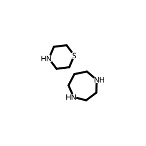 C1CNCCNC1.C1CSCCN1